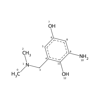 CN(C)Cc1cc(O)cc(N)c1O